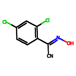 N#CC(=NO)c1ccc(Cl)cc1Cl